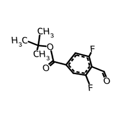 CC(C)(C)OC(=O)c1cc(F)c(C=O)c(F)c1